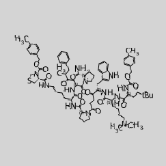 Cc1ccc(COC(=O)N[C@@H](CCC(C)(C)C)C(=O)N[C@@H](CCCCN(C)C)C(=O)N[C@@H](Cc2c[nH]c3ccccc23)C(=O)CCC(=O)N2CCC[C@H]2C(=O)NC(CCCCNC(=O)C2CSCN2C(=O)OCc2ccc(C)cc2)C(=O)N[C@@H](CC(=O)C(C)Cc2ccccc2)C(=O)N2CCC[C@H]2C(N)=O)cc1